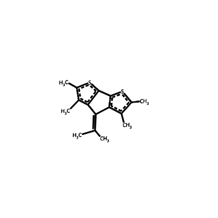 CC(C)=C1c2c(sc(C)c2C)-c2sc(C)c(C)c21